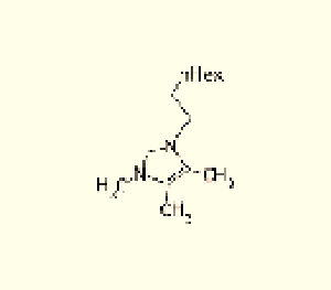 CCCCCCCCN1CN(C)C(C)=C1C